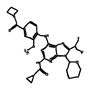 COc1cc(C(=O)N2CCC2)ccc1Nc1cc(NC(=O)C2CC2)nc2c1nc(C(F)F)n2C1CCCCO1